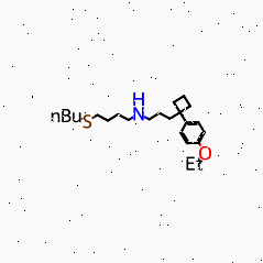 CCCCSCCCCNCCCC1(c2ccc(OCC)cc2)CCC1